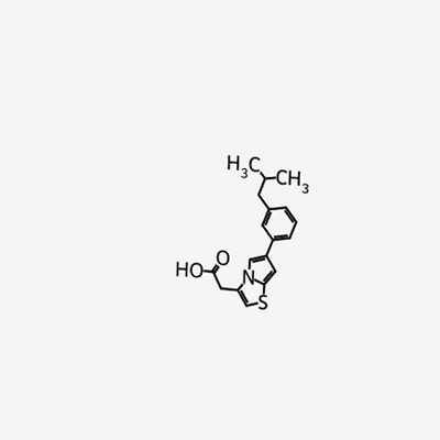 CC(C)Cc1cccc(-c2cc3scc(CC(=O)O)n3c2)c1